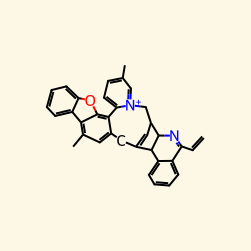 C=CC1=NC2C3C=C(Cc4cc(C)c5c(oc6ccccc65)c4-c4ccc(C)c[n+]4C3)C2c2ccccc21